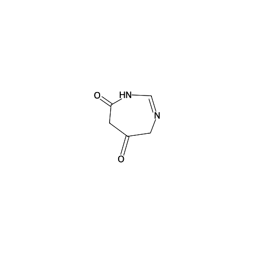 O=C1CN=CNC(=O)C1